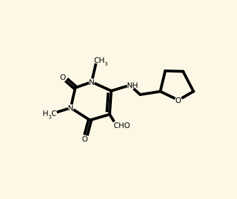 Cn1c(NCC2CCCO2)c(C=O)c(=O)n(C)c1=O